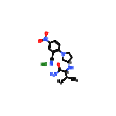 CC(C)[C@H](N[C@H]1CCN(c2ccc([N+](=O)[O-])cc2C#N)C1)C(N)=O.Cl